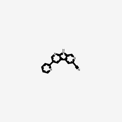 N#Cc1cc2c(cn1)[nH]c1ncc(-c3ccccn3)cc12